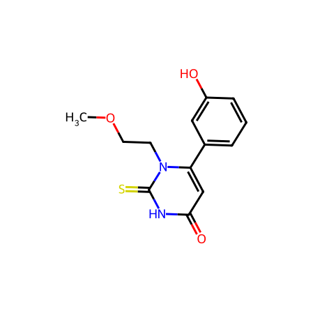 COCCn1c(-c2cccc(O)c2)cc(=O)[nH]c1=S